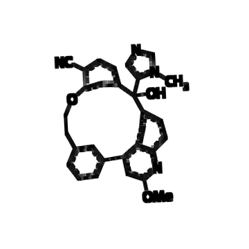 COc1cc2c3cc(ccc3n1)C(O)(c1cncn1C)c1ccc(C#N)c(c1)OCCc1cccc-2c1